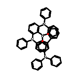 c1ccc(N(c2ccccc2)c2ccc3c(c2)c2ccccc2n3-c2c(N(c3ccccc3)c3ccccc3)cccc2N(c2ccccc2)c2ccccc2)cc1